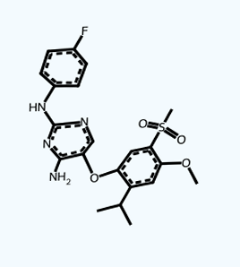 COc1cc(C(C)C)c(Oc2cnc(Nc3ccc(F)cc3)nc2N)cc1S(C)(=O)=O